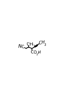 CC#CC(C(=O)O)C(C)CC#N